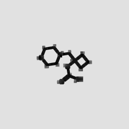 O=C(S)OC1(CN2CCOCC2)CCC1